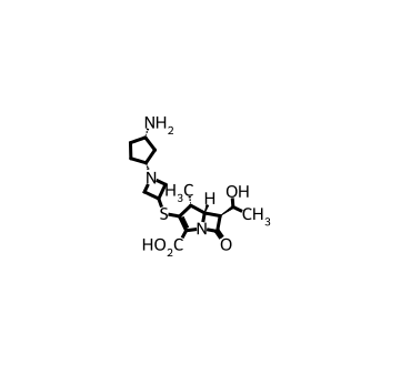 CC(O)[C@H]1C(=O)N2C(C(=O)O)=C(SC3CN([C@@H]4CC[C@H](N)C4)C3)[C@H](C)[C@H]12